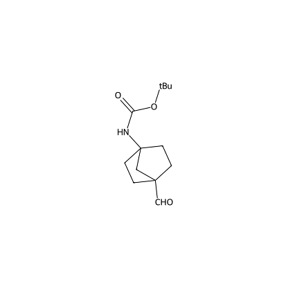 CC(C)(C)OC(=O)NC12CCC(C=O)(CC1)C2